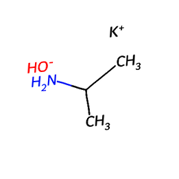 CC(C)N.[K+].[OH-]